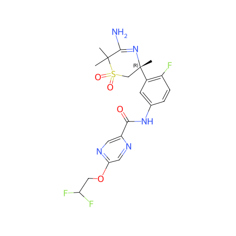 CC1(C)C(N)=N[C@](C)(c2cc(NC(=O)c3cnc(OCC(F)F)cn3)ccc2F)CS1(=O)=O